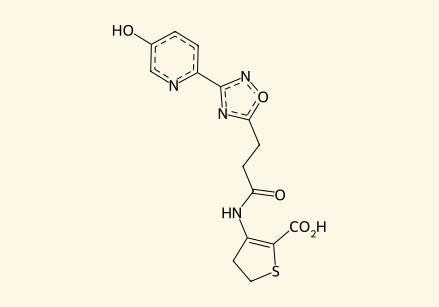 O=C(CCc1nc(-c2ccc(O)cn2)no1)NC1=C(C(=O)O)SCC1